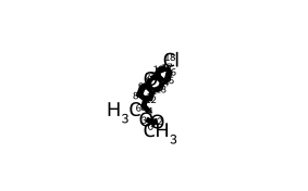 CC(=O)OCC(C)c1ccc2c(c1)Cc1ccc(Cl)cc1O2